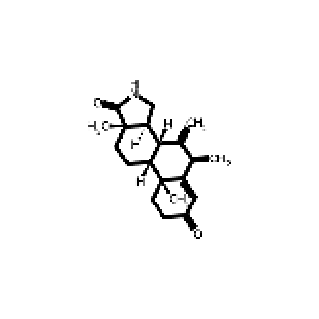 C=C1C(=C)[C@@H]2[C@@H](CC[C@]3(C)C(=O)NC[C@@H]23)[C@@]2(C)CCC(=O)C=C12